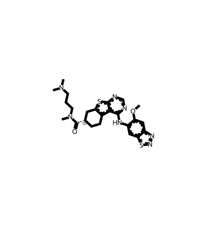 COc1cc2nnsc2cc1Nc1ncnc2sc3c(c12)CC[C@H](C(=O)N(C)CCCN(C)C)C3